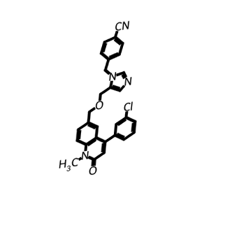 Cn1c(=O)cc(-c2cccc(Cl)c2)c2cc(COCc3cncn3Cc3ccc(C#N)cc3)ccc21